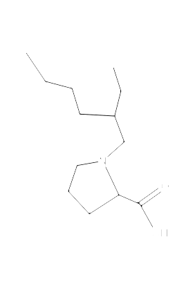 CCCCC(CC)CN1CCCC1C(=O)O